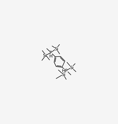 C[Si](C)(C)[PH](C)(c1ccc([PH](C)([Si](C)(C)C)[Si](C)(C)C)cc1)[Si](C)(C)C